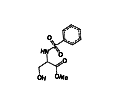 COC(=O)C(CO)NS(=O)(=O)c1ccccc1